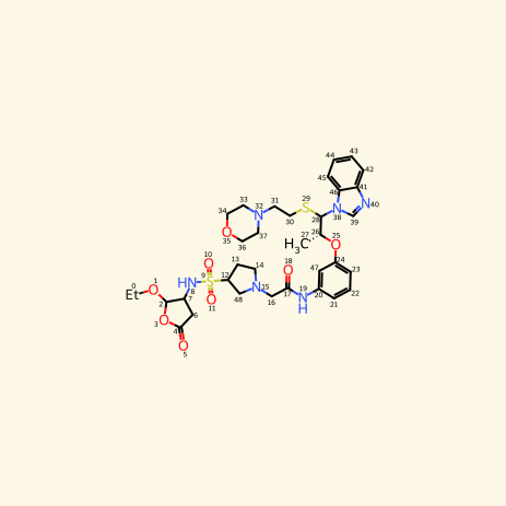 CCOC1OC(=O)CC1NS(=O)(=O)C1CCN(CC(=O)Nc2cccc(O[C@H](C)C(SCCN3CCOCC3)n3cnc4ccccc43)c2)C1